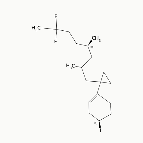 CC(C[C@H](C)CCC(C)(F)F)CC1(C2=CC[C@H](I)CC2)CC1